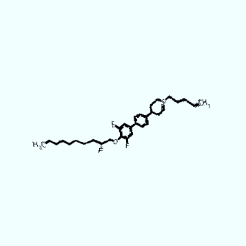 CCCCCCCC[C@@H](F)COc1c(F)cc(-c2ccc(C3CC[SiH](CCCCC)CC3)cc2)cc1F